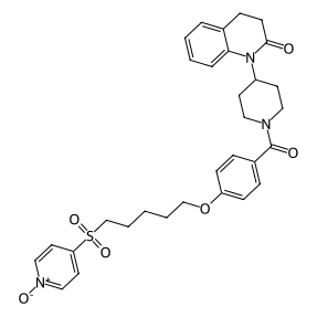 O=C(c1ccc(OCCCCCS(=O)(=O)c2cc[n+]([O-])cc2)cc1)N1CCC(N2C(=O)CCc3ccccc32)CC1